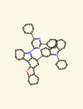 c1ccc(-c2cc(-n3c4ccccc4c4c5oc6ccccc6c5cc(-c5ccc6c7ccccc7n(-c7ccccc7)c6c5)c43)nc(-c3ccccc3)n2)cc1